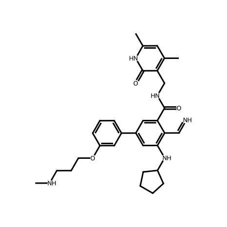 CNCCCOc1cccc(-c2cc(NC3CCCC3)c(C=N)c(C(=O)NCc3c(C)cc(C)[nH]c3=O)c2)c1